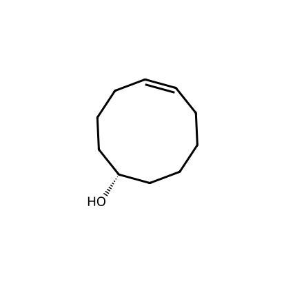 O[C@@H]1CCCC=CCCCC1